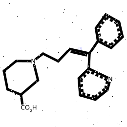 O=C(O)C1CCCN(CC/C=C(/c2ccccc2)c2ccccn2)C1